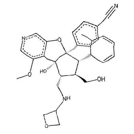 COc1cncc2c1[C@]1(O)[C@@H](CNC3COC3)[C@H](CO)[C@@H](C3C=CC=CC3C)[C@]1(c1ccc(C#N)cc1)O2